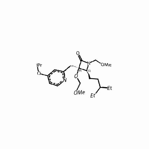 CCC(CC)CC[C@@H]1N(COC)C(=O)[C@]1(Cc1cc(OC(C)C)ccn1)OCOC